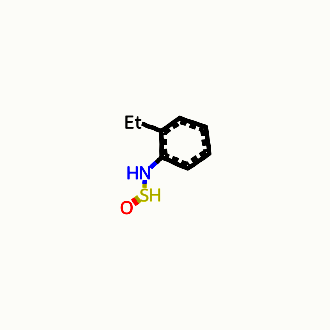 CCc1ccccc1N[SH]=O